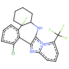 Fc1cccc(Cl)c1-c1nc2cccc(C(F)(F)F)n2c1NC1CCCCC1